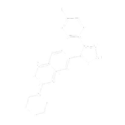 Clc1ccc(-c2n[nH]cc2-c2ccc3ncc(N4CCOCC4)nc3c2)cc1